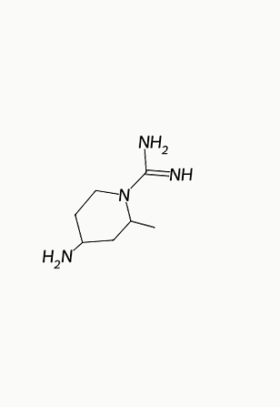 CC1CC(N)CCN1C(=N)N